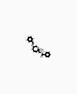 CC1(COC(=O)c2ccccc2)C=CCC(OCc2ccccc2)CO1